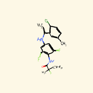 C=C(Nc1cc(F)c(NC(=O)C(C)(C)F)c(F)c1)c1cc(C)ccc1Cl